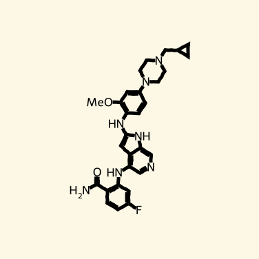 COc1cc(N2CCN(CC3CC3)CC2)ccc1Nc1cc2c(Nc3cc(F)ccc3C(N)=O)cncc2[nH]1